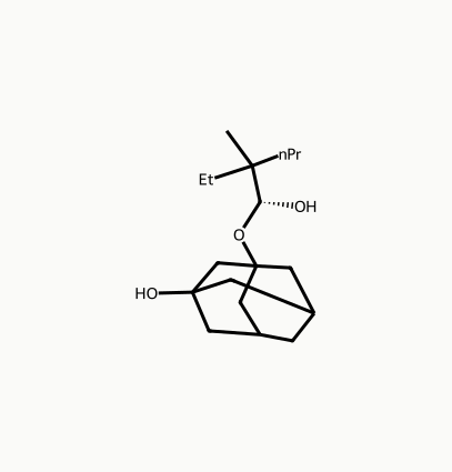 CCCC(C)(CC)[C@H](O)OC12CC3CC(CC(O)(C3)C1)C2